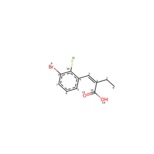 CCC(=Cc1cccc(Br)c1F)C(=O)O